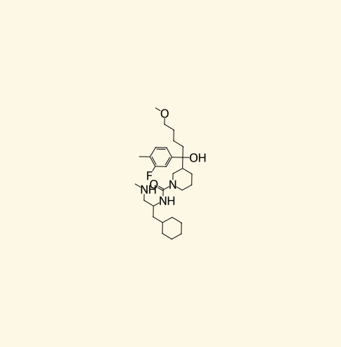 CNCC(CC1CCCCC1)NC(=O)N1CCCC(C(O)(CCCCOC)c2ccc(C)c(F)c2)C1